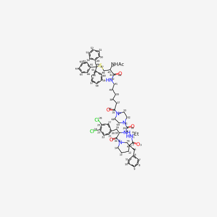 CCNC(=O)[C@]1(Cc2ccccc2)CCCN(C(=O)C(Cc2ccc(Cl)c(Cl)c2)NC(=O)N2CCN(C(=O)CCCCCNC(=O)C(CSC(c3ccccc3)(c3ccccc3)c3ccccc3)NC(C)=O)CC2)C1